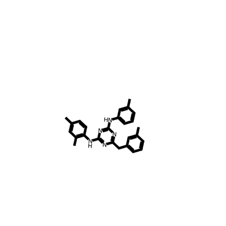 Cc1cccc(Cc2nc(Nc3cccc(C)c3)nc(Nc3ccc(C)cc3C)n2)c1